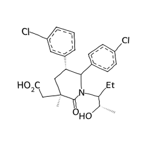 CCC([C@H](C)O)N1C(=O)[C@@](C)(CC(=O)O)C[C@H](c2cccc(Cl)c2)C1c1ccc(Cl)cc1